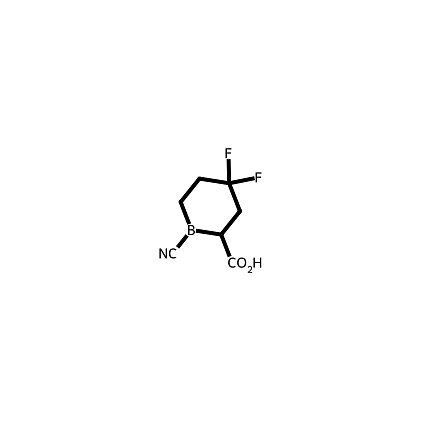 N#CB1CCC(F)(F)CC1C(=O)O